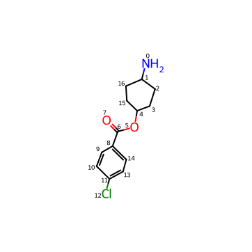 NC1CCC(OC(=O)c2ccc(Cl)cc2)CC1